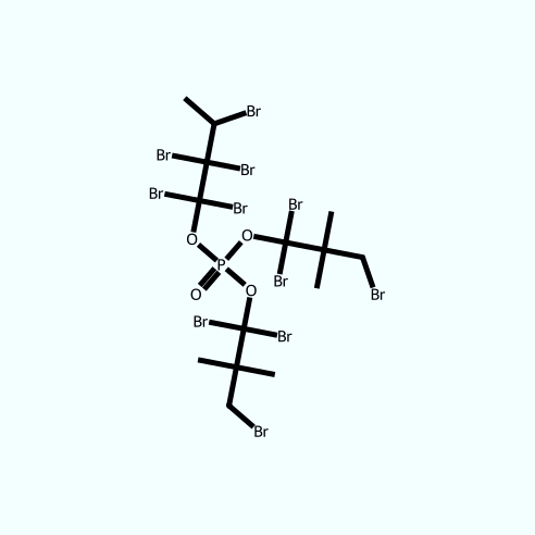 CC(Br)C(Br)(Br)C(Br)(Br)OP(=O)(OC(Br)(Br)C(C)(C)CBr)OC(Br)(Br)C(C)(C)CBr